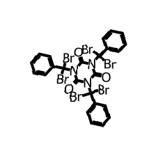 O=c1n(C(Br)(Br)c2ccccc2)c(=O)n(C(Br)(Br)c2ccccc2)c(=O)n1C(Br)(Br)c1ccccc1